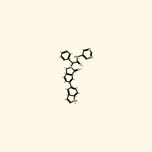 O=C(Nc1cncnc1)C(c1ccccc1)N1Cc2ccc(-c3ccc4[nH]ccc4c3)cc2C1=O